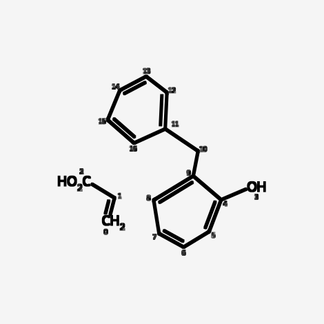 C=CC(=O)O.Oc1ccccc1Cc1ccccc1